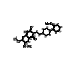 CCOc1cc2[nH]c(=O)n(CCN3CCN(c4ccccc4OC)CC3)c(=O)c2cc1NC(C)=O